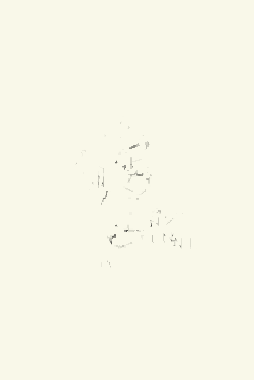 CC(C)c1cc(N(C(=S)NN)[C@H]2CCc3sc(NC(=O)C4CC4)c(C(=O)NCC4CC4)c3C2)n(C)n1